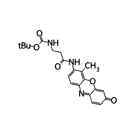 Cc1c(NC(=O)CCNC(=O)OC(C)(C)C)ccc2nc3ccc(=O)cc-3oc12